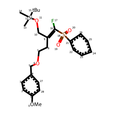 COc1ccc(COCC/C(CO[Si](C)(C)C(C)(C)C)=C(/F)S(=O)(=O)c2ccccc2)cc1